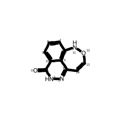 O=c1[nH]nc2c3c(cccc13)NOC=C2